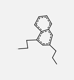 [CH2]CCc1cc(CCC)cc2ccccc12